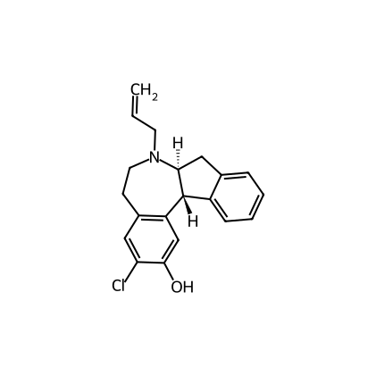 C=CCN1CCc2cc(Cl)c(O)cc2[C@H]2c3ccccc3C[C@@H]21